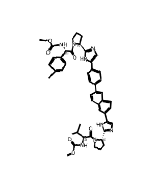 COC(=O)N[C@H](C(=O)N1CCC[C@H]1c1ncc(-c2ccc(-c3ccc4cc(-c5cnc([C@@H]6CCCN6C(=O)[C@@H](NC(=O)OC)C(C)C)[nH]5)ccc4c3)cc2)[nH]1)c1ccc(C)cc1